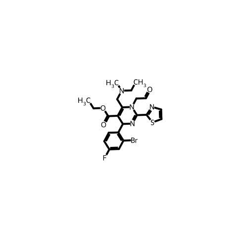 CCOC(=O)C1=C(CN(C)CC)N(CC=O)C(c2nccs2)=NC1c1ccc(F)cc1Br